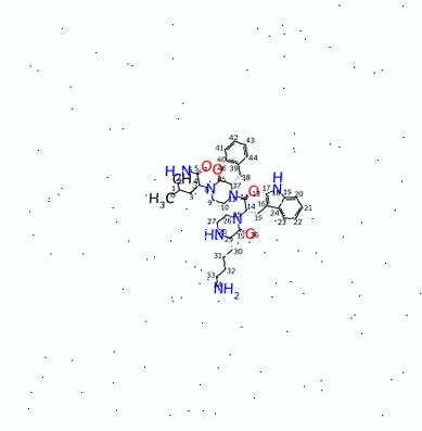 CC(C)C[C@@H](C(N)=O)N1CCN(C(=O)[C@H](Cc2c[nH]c3ccccc23)N2CCN[C@@H](CCCCN)C2=O)[C@@H](Cc2ccccc2)C1=O